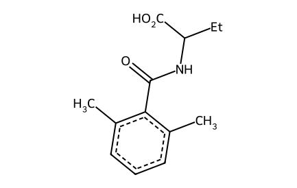 CCC(NC(=O)c1c(C)cccc1C)C(=O)O